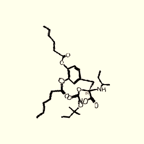 CCCCCC(=O)Oc1ccc(C[C@](NC(C)CC)(OC(=O)OC(C)(C)CC)C(=O)O)cc1OC(=O)CCCCC